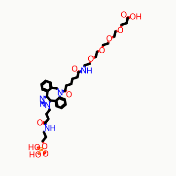 O=C(O)CCOCCOCCOCCOCCNC(=O)CCCCC(=O)N1Cc2ccccc2C2N=NN(CCCC(=O)NCCCOP(=O)(O)O)C2c2ccccc21